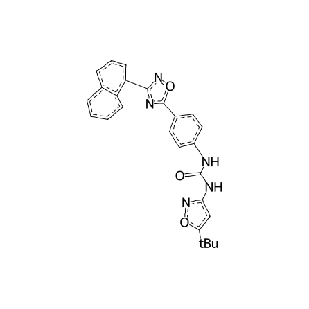 CC(C)(C)c1cc(NC(=O)Nc2ccc(-c3nc(-c4cccc5ccccc45)no3)cc2)no1